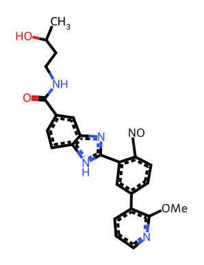 COc1ncccc1-c1ccc(N=O)c(-c2nc3cc(C(=O)NCCC(C)O)ccc3[nH]2)c1